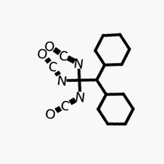 O=C=NC(N=C=O)(N=C=O)C(C1CCCCC1)C1CCCCC1